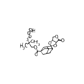 CC(C)(COC(=O)C12CC3CC(C1)C1(OC4COC(=O)C4O1)C(C3)C2)SOOO